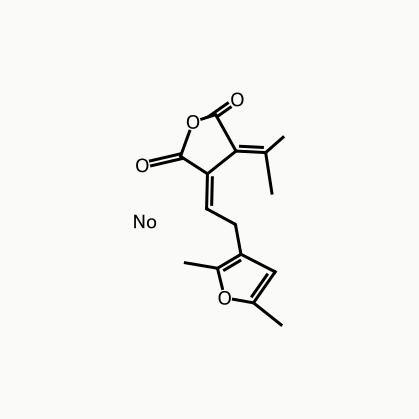 CC(C)=C1C(=O)OC(=O)/C1=C/Cc1cc(C)oc1C.[No]